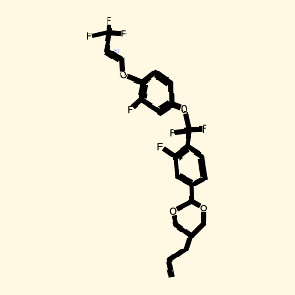 CCCC1COC(c2ccc(C(F)(F)Oc3ccc(O/C=C/C(F)(F)F)c(F)c3)c(F)c2)OC1